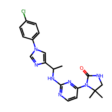 CC(Nc1nccc(N2C(=O)NCC2(C)C)n1)c1cn(-c2ccc(Cl)cc2)cn1